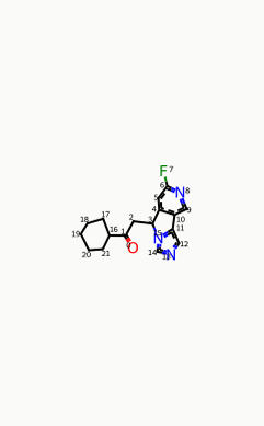 O=C(CC1c2cc(F)ncc2-c2cncn21)C1CCCCC1